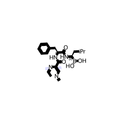 C=N/C=C(\N=C/C)C(=O)N[C@@H](Cc1ccccc1)C(=O)N[C@@H](CC(C)C)B(O)O